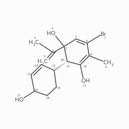 C=C(C)C1(O)C=C(Br)C(C)=C(O)[C@@H]1C1C=CC(O)CC1